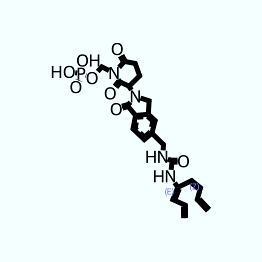 C=C/C=C\C(=C/C=C)NC(=O)NCc1ccc2c(c1)CN(C1CCC(=O)N(COP(=O)(O)O)C1=O)C2=O